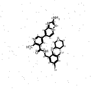 Cc1ncc(-c2ccn3nc(N)nc3c2)cc1C(=O)NCc1cc(F)cc(F)c1OC1CCCOC1